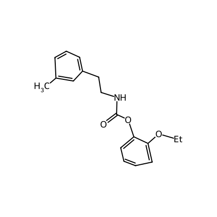 CCOc1ccccc1OC(=O)NCCc1cccc(C)c1